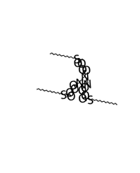 CCCCCCCCCCCCCCSCC(C)C(=O)OCCOC(=O)CCN(CCCN(C)C)CCCN(CCC(=O)OCCOC(=O)C(C)CSCCCCCCCCCCCCCC)CCC(=O)OCCOC(=O)C(C)CSCCCCCCCCCCCCCC